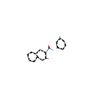 O=C(Nc1cccc(Cl)c1)c1cc2ccccc2cc1O